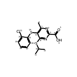 Cc1nc(C(=O)O)nc(SC(C)C)c1Sc1ccccc1Cl